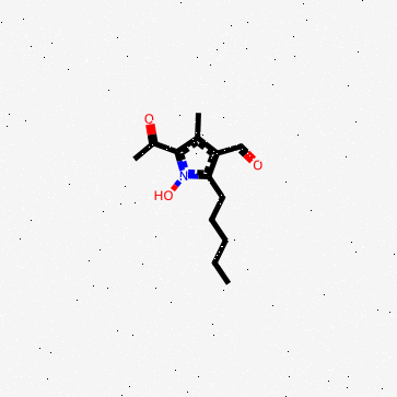 CCCCCc1c(C=O)c(C)c(C(C)=O)n1O